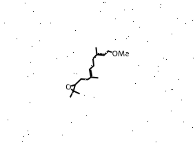 COCC=C(C)CCC=C(C)CCC1OC1(C)C